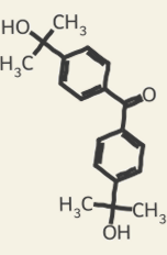 CC(C)(O)c1ccc(C(=O)c2ccc(C(C)(C)O)cc2)cc1